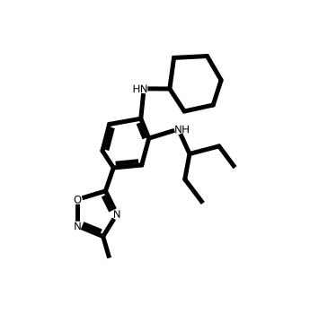 CCC(CC)Nc1cc(-c2nc(C)no2)ccc1NC1CCCCC1